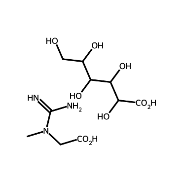 CN(CC(=O)O)C(=N)N.O=C(O)C(O)C(O)C(O)C(O)CO